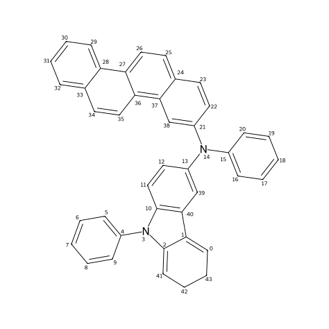 C1=c2c(n(-c3ccccc3)c3ccc(N(c4ccccc4)c4ccc5ccc6c7ccccc7ccc6c5c4)cc23)=CCC1